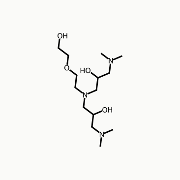 CN(C)CC(O)CN(CCOCCO)CC(O)CN(C)C